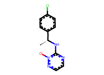 C[C@@H](Nc1nccn[n+]1[O-])c1ccc(Cl)cc1